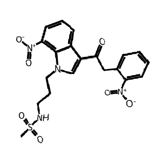 CS(=O)(=O)NCCCn1cc(C(=O)Cc2ccccc2[N+](=O)[O-])c2cccc([N+](=O)[O-])c21